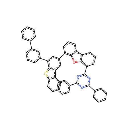 c1ccc(-c2cccc(-c3cc(-c4cccc5c4oc4c(-c6nc(-c7ccccc7)nc(-c7ccccc7)n6)cccc45)cc4c3sc3ccccc34)c2)cc1